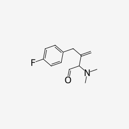 C=C(Cc1ccc(F)cc1)C(C=O)N(C)C